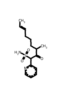 CC=CCCCC(C)C(=O)C(c1ccccn1)S(N)(=O)=O